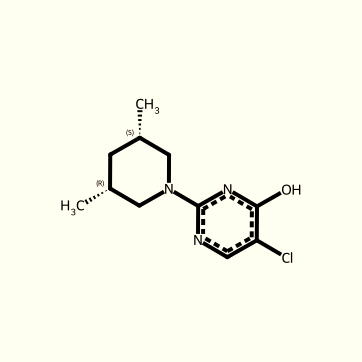 C[C@@H]1C[C@H](C)CN(c2ncc(Cl)c(O)n2)C1